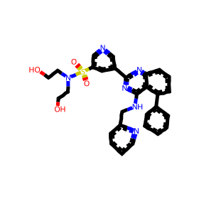 O=S(=O)(c1cncc(-c2nc(NCc3ccccn3)c3c(-c4ccccc4)cccc3n2)c1)N(CCO)CCO